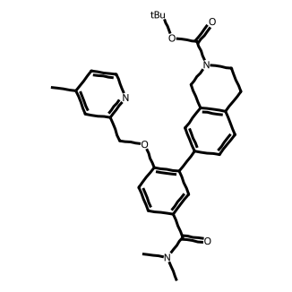 Cc1ccnc(COc2ccc(C(=O)N(C)C)cc2-c2ccc3c(c2)CN(C(=O)OC(C)(C)C)CC3)c1